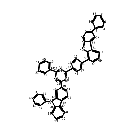 c1ccc(-c2ccc3sc4c(-c5ccc(-c6nc(-c7ccccc7)nc(-c7ccc8c9ccccc9n(-c9ccccc9)c8c7)n6)cc5)cccc4c3c2)cc1